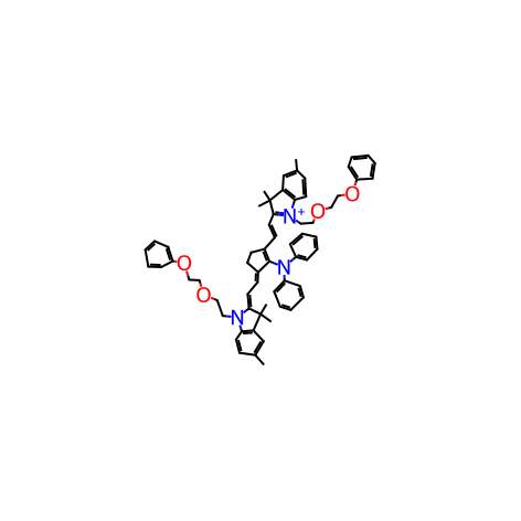 Cc1ccc2c(c1)C(C)(C)C(/C=C/C1=C(N(c3ccccc3)c3ccccc3)C(=C/C=C3/N(CCOCCOc4ccccc4)c4ccc(C)cc4C3(C)C)/CC1)=[N+]2CCOCCOc1ccccc1